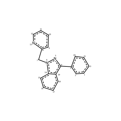 c1ccc(-c2nn(Cc3ccccn3)c3ccccc23)cc1